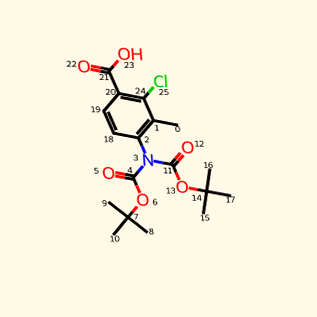 Cc1c(N(C(=O)OC(C)(C)C)C(=O)OC(C)(C)C)ccc(C(=O)O)c1Cl